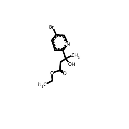 CCOC(=O)CC(C)(O)c1ccc(Br)cn1